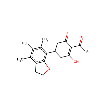 CCCC(=O)C1=C(O)CC(c2c(C)c(C)c(C)c3c2OCC3)CC1=O